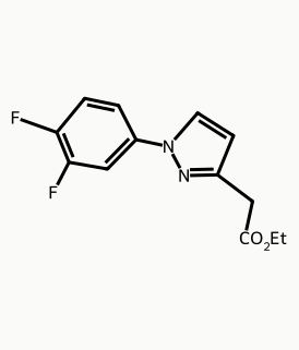 CCOC(=O)Cc1ccn(-c2ccc(F)c(F)c2)n1